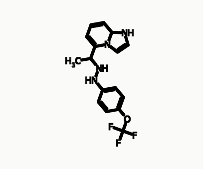 CC(NNc1ccc(OC(F)(F)F)cc1)C1=CC=CC2NC=CN12